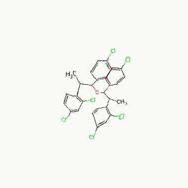 CC(c1ccc(Cl)cc1Cl)C(OC(c1ccc(Cl)cc1)C(C)c1ccc(Cl)cc1Cl)c1ccc(Cl)cc1